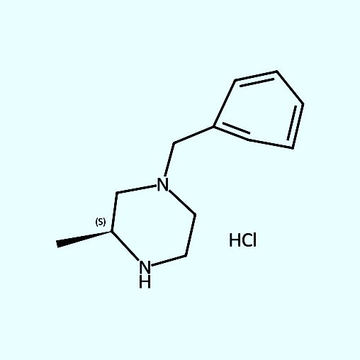 C[C@H]1CN(Cc2ccccc2)CCN1.Cl